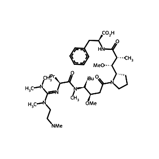 CC[C@H](C)[C@@H]([C@@H](CC(=O)N1CCC[C@H]1[C@H](OC)[C@@H](C)C(=O)N[C@@H](Cc1ccccc1)C(=O)O)OC)N(C)C(=O)[C@@H](/N=C(\N(C)C)N(C)CCNC)C(C)C